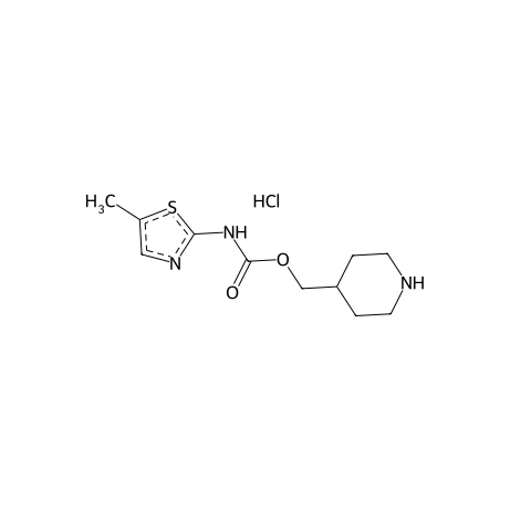 Cc1cnc(NC(=O)OCC2CCNCC2)s1.Cl